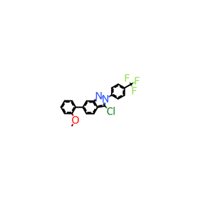 COc1ccccc1-c1ccc2c(Cl)n(-c3ccc(C(F)(F)F)cc3)nc2c1